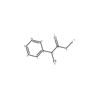 CCC(C(=O)CI)c1ccccc1